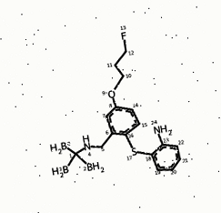 BC(B)(B)NCc1cc(OCCCF)ccc1Sc1ccccc1N